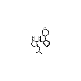 CC(C)CN1CCNC1Nc1ccccc1N1CCOCC1